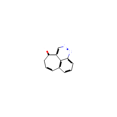 O=C1CC=Cc2cccc3nncc1c23